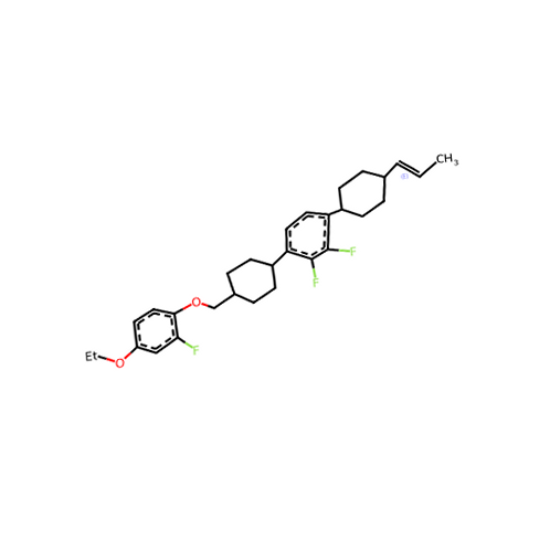 C/C=C/C1CCC(c2ccc(C3CCC(COc4ccc(OCC)cc4F)CC3)c(F)c2F)CC1